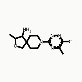 Cc1nc(N2CCC3(CC2)COC(C)C3N)nnc1Cl